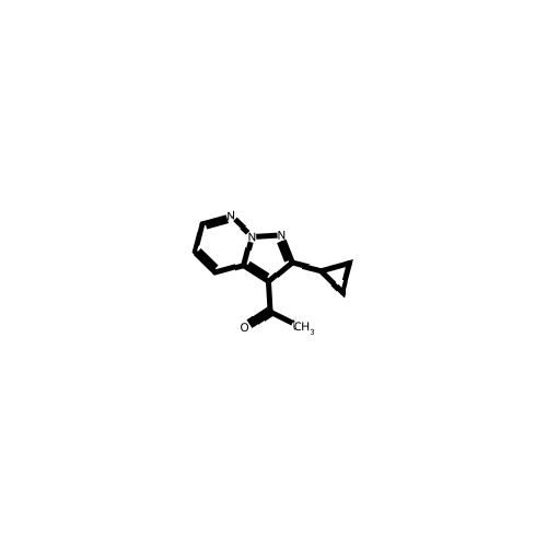 CC(=O)c1c(C2CC2)nn2ncccc12